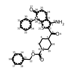 Nc1c(C(=O)C2CCN(C(=O)OCc3ccccc3)CC2)sc2c1ccc(=O)n2-c1ccccc1